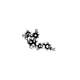 CC(=O)N1CCC(CN2CC[C@H](Cc3cn(-c4ccc(F)cc4C[N+]4=[SH](=O)CCC4)c4cncc(C)c34)C2)CC1